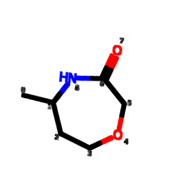 CC1CCOCC(=O)N1